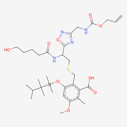 C=CCOC(=O)NCc1noc(C(CSCc2c(O[Si](C)(C)C(C)(C)C(C)C)cc(OC)c(C)c2C(=O)O)NC(=O)CCCCO)n1